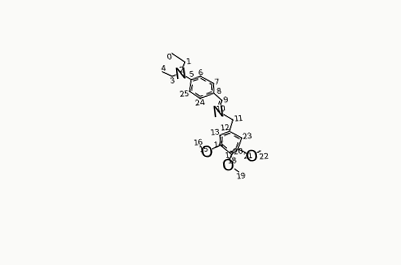 CCN(CC)c1ccc(/C=N/Cc2cc(OC)c(OC)c(OC)c2)cc1